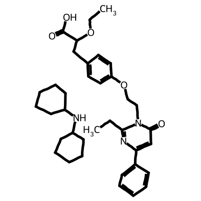 C1CCC(NC2CCCCC2)CC1.CCOC(Cc1ccc(OCCn2c(CC)nc(-c3ccccc3)cc2=O)cc1)C(=O)O